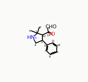 CC1(C)NCC(c2ccccc2)C1C(=O)C=O